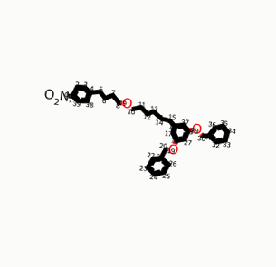 O=[N+]([O-])c1ccc(CCCCOCCCC[CH]Cc2cc(OCc3ccccc3)cc(OCc3ccccc3)c2)cc1